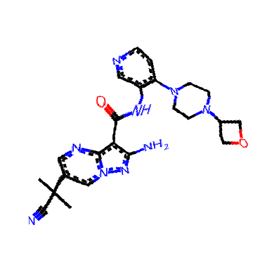 CC(C)(C#N)c1cnc2c(C(=O)Nc3cnccc3N3CCN(C4COC4)CC3)c(N)nn2c1